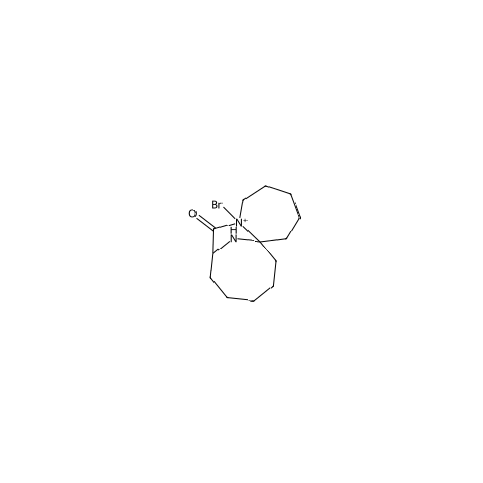 O=C1C2CCCCCC3(CCCCC[N+]13Br)N2